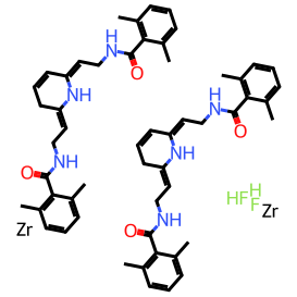 Cc1cccc(C)c1C(=O)NCC=C1C=CCC(=CCNC(=O)c2c(C)cccc2C)N1.Cc1cccc(C)c1C(=O)NCC=C1C=CCC(=CCNC(=O)c2c(C)cccc2C)N1.F.F.[Zr].[Zr]